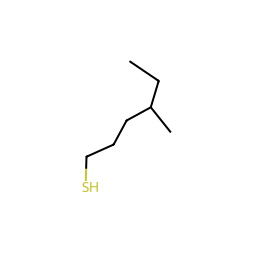 CCC(C)CCCS